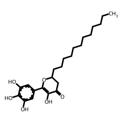 CCCCCCCCCCCCC1CC(=O)C(O)=C(c2cc(O)c(O)c(O)c2)O1